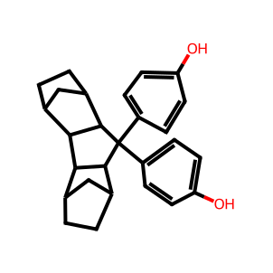 Oc1ccc(C2(c3ccc(O)cc3)C3C4CCC(C4)C3C3C4CCC(C4)C32)cc1